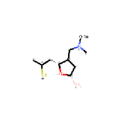 B[C@H]1CC(CN(C)OCC(C)C)[C@@H](CC(C)S)O1